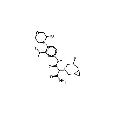 NC(=O)[C@@H](C(=O)Nc1ccc(N2CCOCC2=O)c(C(F)F)c1)N(CC(F)F)CC1CC1